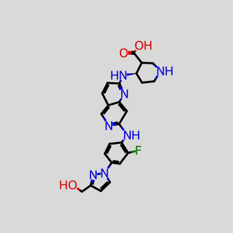 O=C(O)C1CNCC[C@H]1Nc1ccc2cnc(Nc3ccc(-n4ccc(CO)n4)cc3F)cc2n1